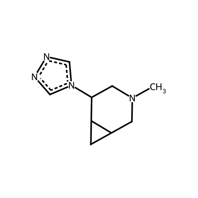 CN1CC2CC2C(n2cnnc2)C1